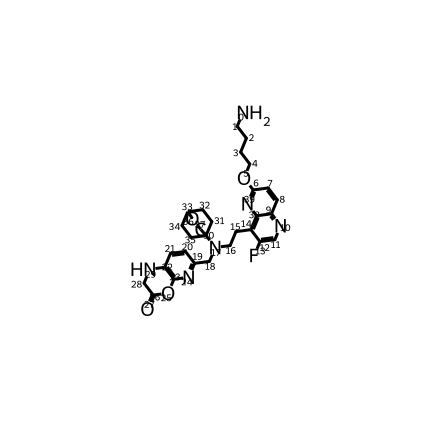 NCCCCOc1ccc2ncc(F)c(CCN(Cc3ccc4c(n3)OC(=O)CN4)C34CCC(CC3)OC4)c2n1